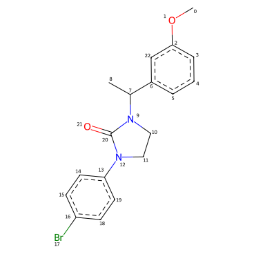 COc1cccc(C(C)N2CCN(c3ccc(Br)cc3)C2=O)c1